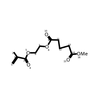 C=C(C)C(=O)OCCOC(=O)CCCC(=O)OC